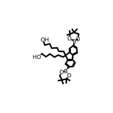 CC1(C)COB(c2ccc3c(c2)C(CCCCCCO)(CCCCCCO)c2cc(B4OCC(C)(C)C(C)(C)O4)ccc2-3)OC1(C)C